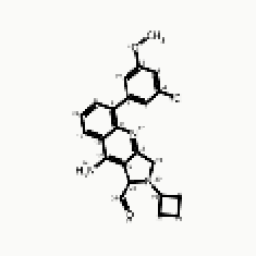 COc1cc(Cl)cc(-c2cccc3c(N)c4c(nc23)CN(C2CCC2)C4C=O)c1